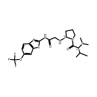 CC(C)[C@@H](C(=O)N1CCC[C@@H]1NCC(=O)Nc1nc2ccc(OC(F)(F)F)cc2s1)N(C)C